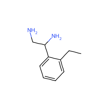 CCc1ccccc1C(N)CN